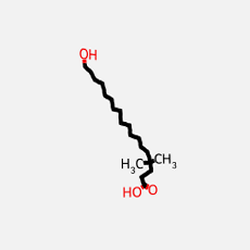 CC(C)(CCCCCCCCCCCCCCO)CCC(=O)O